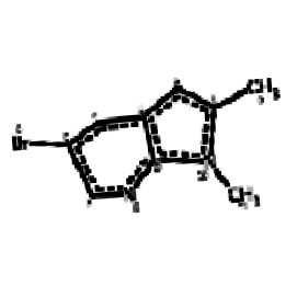 Cc1cc2cc(Br)cnc2n1C